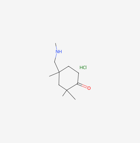 CNCC1(C)CCC(=O)C(C)(C)C1.Cl